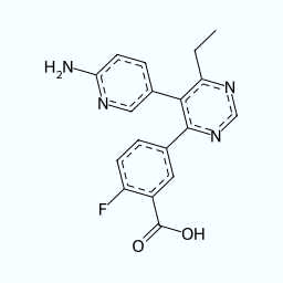 CCc1ncnc(-c2ccc(F)c(C(=O)O)c2)c1-c1ccc(N)nc1